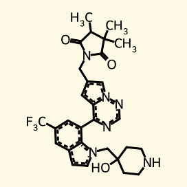 CC1C(=O)N(Cc2cc3c(-c4cc(C(F)(F)F)cc5ccn(CC6(O)CCNCC6)c45)ncnn3c2)C(=O)C1(C)C